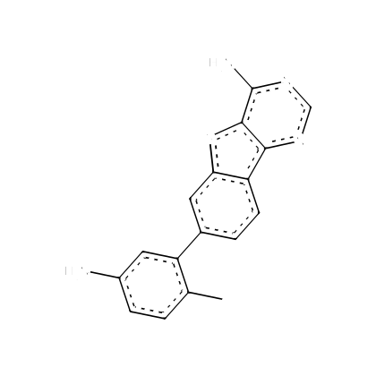 Cc1ccc(N)cc1-c1ccc2c(c1)sc1c(N)ncnc12